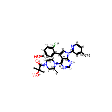 C[C@H]1CN(C(=O)C(C)(C)O)[C@H](CO)CN1c1ncnc2c1c(-c1ccccc1F)cn2-c1cc(C#N)ccn1